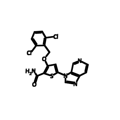 NC(=O)c1sc(-n2cnc3ccncc32)cc1OCc1c(Cl)cccc1Cl